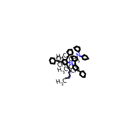 C=C/C=C\C=C(/C)C(C)(C)c1cc(C(C)(C)c2ccccc2)cc(C(C)(C)c2ccccc2)c1-n1c2ccc(-c3ccccc3)cc2c2cc(N(c3ccccc3)c3ccccc3)ccc21